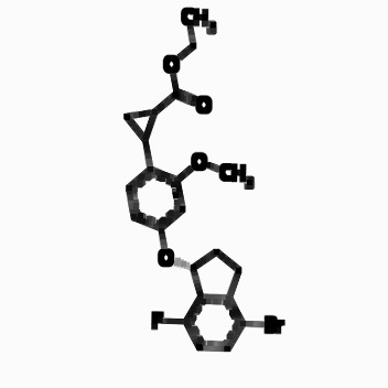 CCOC(=O)C1CC1c1ccc(O[C@@H]2CCc3c(Br)ccc(F)c32)cc1OC